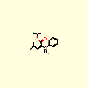 CC(C)C=C([SiH2]c1ccccc1)C(=O)OC(C)C